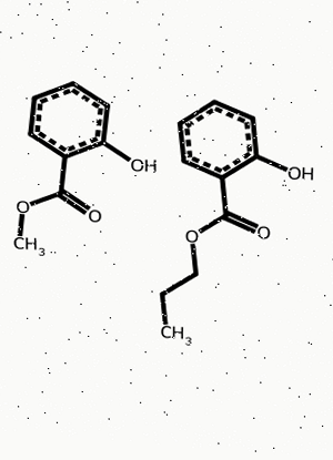 CCCOC(=O)c1ccccc1O.COC(=O)c1ccccc1O